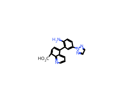 Nc1ccc(-n2nccn2)cc1-c1ccc(C(=O)O)c2ncccc12